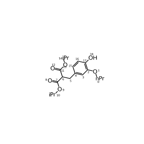 CCCOc1cc(CC(C(=O)OC(C)C)C(=O)OC(C)C)ccc1O